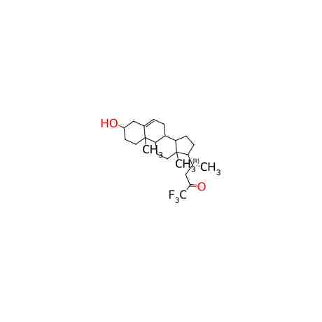 C[C@H](CC(=O)C(F)(F)F)C1CCC2C3CC=C4CC(O)CCC4(C)C3CCC21C